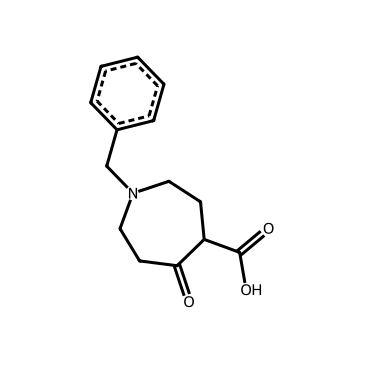 O=C(O)C1CCN(Cc2ccccc2)CCC1=O